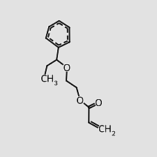 C=CC(=O)OCCOC(CC)c1ccccc1